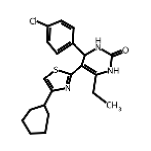 CCC1=C(c2nc(C3CCCCC3)cs2)C(c2ccc(Cl)cc2)NC(=O)N1